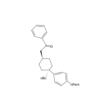 CCCCCc1ccc([C@]2(CCCC)CC[C@H](CC(=O)c3ccccc3)CC2)cc1